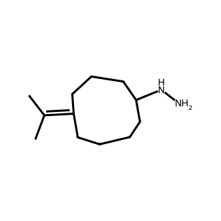 CC(C)=C1CCCCC(NN)CCC1